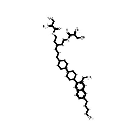 C=C(CC)C(=O)OCCC(CCCC1CCC(C2CCC(c3cc4ccc(CCCCC)cc4cc3CC)CC2)CC1)CCOC(=O)C(=C)CO